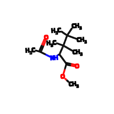 COC(=O)C(NC(C)=O)C(C)(C)C(C)(C)C